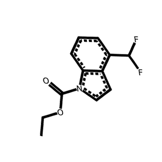 CCOC(=O)n1ccc2c(C(F)F)cccc21